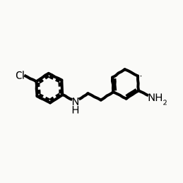 NC1=CC(CCNc2ccc(Cl)cc2)=CC[CH]1